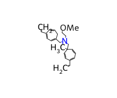 C=CC1=CC=CC(C)(CN(CCOC)CC2=CC=C(C=C)C=CC2)C=C1